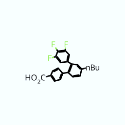 CCCCc1ccc(-c2ccc(C(=O)O)cc2)c(-c2cc(F)c(F)c(F)c2)c1